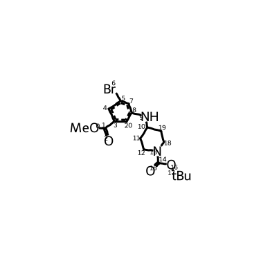 COC(=O)c1cc(Br)cc(NC2CCN(C(=O)OC(C)(C)C)CC2)c1